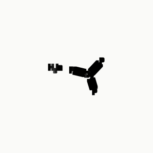 [InH3].[P]#[Dy](#[P])#[P]